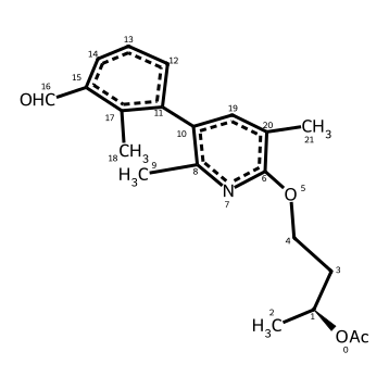 CC(=O)O[C@@H](C)CCOc1nc(C)c(-c2cccc(C=O)c2C)cc1C